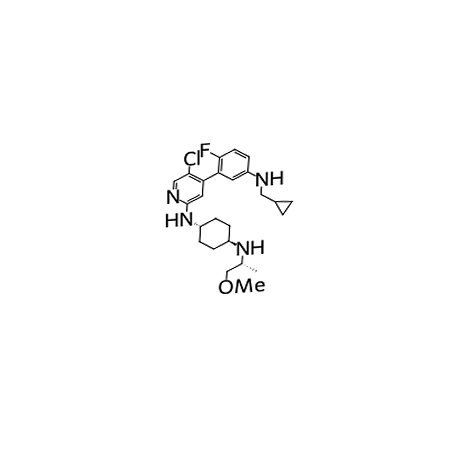 COC[C@@H](C)N[C@H]1CC[C@H](Nc2cc(-c3cc(NCC4CC4)ccc3F)c(Cl)cn2)CC1